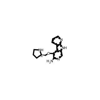 Nc1ncc2[nH]c3ncccc3c2c1OC[C@H]1CCCN1